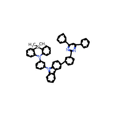 C[Si]1(C)c2ccccc2N(c2cccc(-n3c4ccccc4c4cc(-c5cccc(-c6nc(-c7ccccc7)cc(-c7ccccc7)n6)c5)ccc43)c2)c2ccccc21